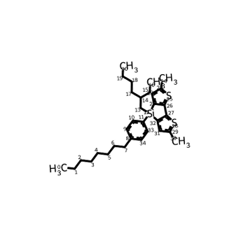 CCCCCCCCc1ccc([Si]2(CC(CC)CCCC)c3cc(C)sc3-c3sc(C)cc32)cc1